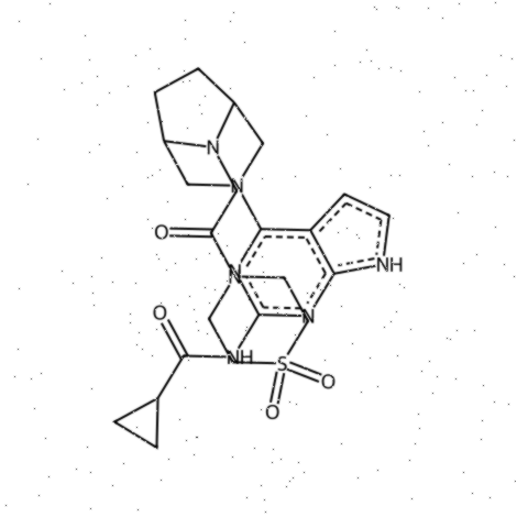 O=C(Nc1nc(N2CC3CCC(C2)N3CC(=O)N2CCS(=O)(=O)CC2)c2cc[nH]c2n1)C1CC1